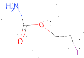 NC(=O)OCCI